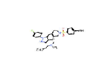 COCCN(C)C[C@@H]1C2=CNN(c3ccc(F)cc3)C2=CC2=C1CN(S(=O)(=O)c1ccc(C(C)(C)C)cc1)CC2